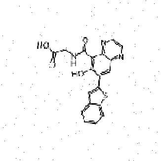 O=C(O)CNC(=O)c1c(O)c(-c2cc3ccccc3s2)cc2nccnc12